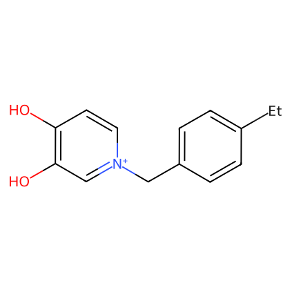 CCc1ccc(C[n+]2ccc(O)c(O)c2)cc1